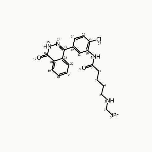 CC(C)CNCCCCC(=O)Nc1cc(-c2n[nH]c(=O)c3ccccc23)ccc1Cl